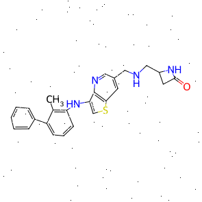 Cc1c(Nc2csc3cc(CNCC4CC(=O)N4)cnc23)cccc1-c1ccccc1